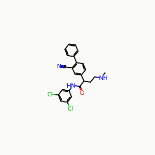 CNCCC(C(=O)Nc1cc(Cl)cc(Cl)c1)c1ccc(-c2ccccc2)c(C#N)c1